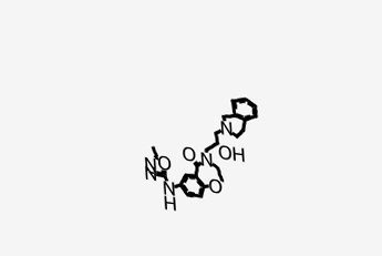 Cc1nnc(Nc2ccc3c(c2)C(=O)N(CC(O)CN2CCc4ccccc4C2)CCO3)o1